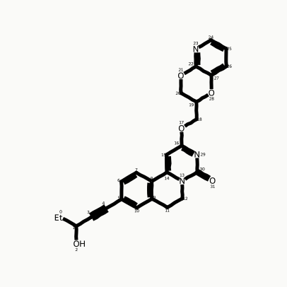 CCC(O)C#Cc1ccc2c(c1)CCn1c-2cc(OCC2COc3ncccc3O2)nc1=O